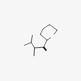 CC(C)C(C)C(=O)C1CCCCC1